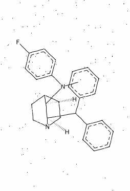 CN(c1ccc(F)cc1)[C@@H]1C2CCN(CC2)[C@@H]1C(c1ccccc1)c1ccccc1